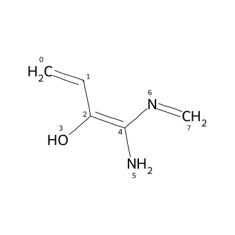 C=C/C(O)=C(/N)N=C